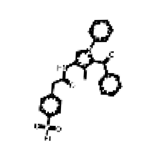 CCS(=O)(=O)c1ccc(CC(=O)Nc2cn(-c3ccccc3)c(C(=O)c3ccccc3)c2C)cc1